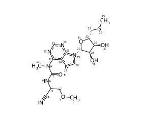 COCC(C#N)NC(=O)N(C)c1ncnc2c1ncn2[C@@H]1O[C@H](CSC)[C@@H](O)[C@H]1O